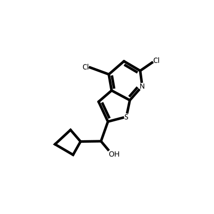 OC(c1cc2c(Cl)cc(Cl)nc2s1)C1CCC1